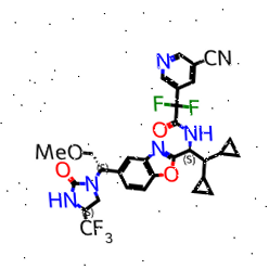 COC[C@H](c1ccc2oc([C@@H](NC(=O)C(F)(F)c3cncc(C#N)c3)C(C3CC3)C3CC3)nc2c1)N1C[C@@H](C(F)(F)F)NC1=O